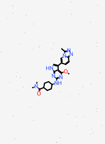 COc1nc(NC2CCC(C(=O)N(C)C)CC2)nc2[nH]cc(-c3ccc4nnc(C)n4c3)c12